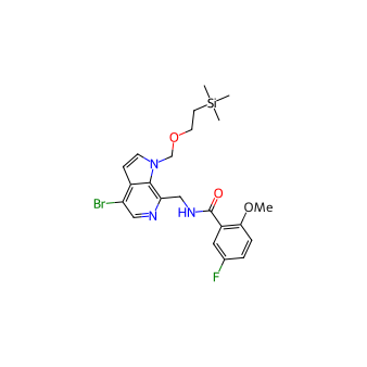 COc1ccc(F)cc1C(=O)NCc1ncc(Br)c2ccn(COCC[Si](C)(C)C)c12